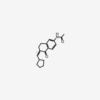 CC(=O)Nc1ccc2c(c1)CC/C(=C/C1CCCC1)C2=O